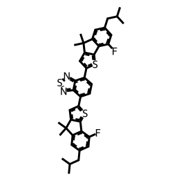 CC(C)Cc1cc(F)c2c(c1)C(C)(C)c1cc(-c3ccc(-c4cc5c(s4)-c4c(F)cc(CC(C)C)cc4C5(C)C)c4nsnc34)sc1-2